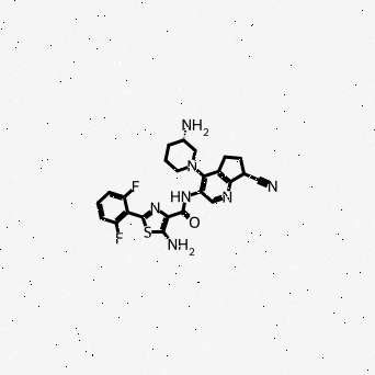 N#CC1CCc2c1ncc(NC(=O)c1nc(-c3c(F)cccc3F)sc1N)c2N1CCC[C@H](N)C1